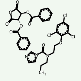 CCCN(CCOc1c(Cl)cc(Cl)cc1Cl)C(=O)n1ccnc1.O=C(O[C@@H]1C(=O)OC(=O)[C@H]1OC(=O)c1ccccc1)c1ccccc1